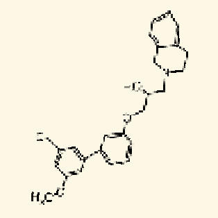 COc1cc(Cl)cc(-c2cccc(OCC(O)CN3CCc4ccccc4C3)c2)c1